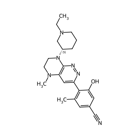 CCN1CCC[C@H](N2CCN(C)c3cc(-c4c(C)cc(C#N)cc4O)nnc32)C1